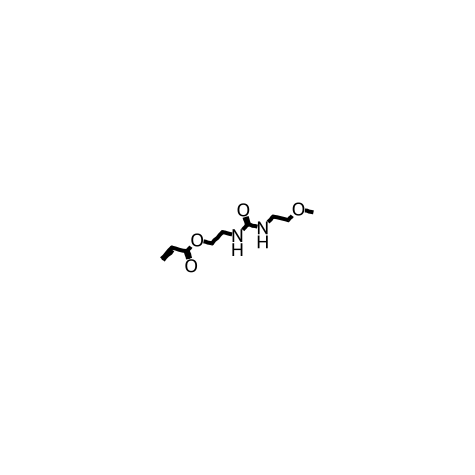 C=CC(=O)OCCNC(=O)NCCOC